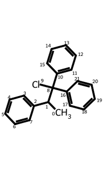 CC(c1ccccc1)C(Cl)(c1ccccc1)c1ccccc1